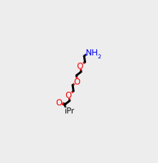 CC(C)C(=O)COCCOCCOCCN